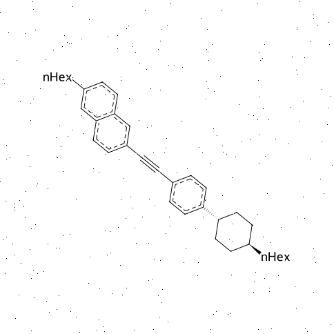 CCCCCCc1ccc2cc(C#Cc3ccc([C@H]4CC[C@H](CCCCCC)CC4)cc3)ccc2c1